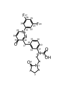 O=C1CCCN1CCN(C(=O)O)c1cccc(Cc2nn(-c3cc(F)cc(F)c3)ccc2=O)c1